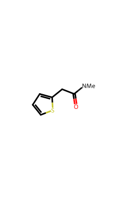 [CH]NC(=O)Cc1cccs1